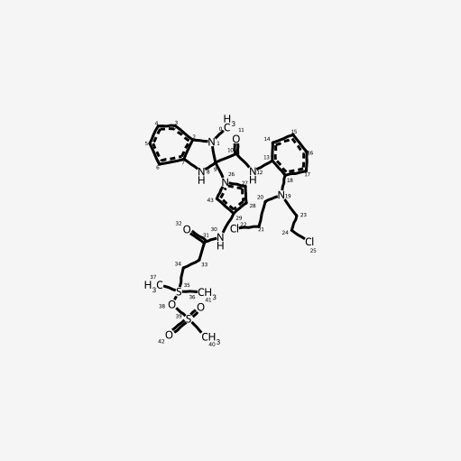 CN1c2ccccc2NC1(C(=O)Nc1ccccc1N(CCCl)CCCl)n1ccc(NC(=O)CCS(C)(C)OS(C)(=O)=O)c1